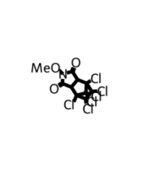 CON1C(=O)C2C(C1=O)C1(Cl)C(Cl)C(Cl)C2(Cl)C1(Cl)Cl